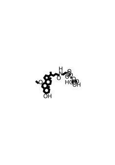 CCOC1CC2CC(O)CCC2(C)C2CCC3(C)C(C(C)CCC(=O)NCCS(=O)(=O)OCOP(=O)(O)O)CCC3C12